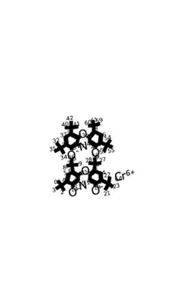 CC(C)(C)c1cc(C(C)(C)C)c2c(c1[O-])[N-]c1c([O-])c(C(C)(C)C)cc(C(C)(C)C)c1O2.CC(C)(C)c1cc(C(C)(C)C)c2c(c1[O-])[N-]c1c([O-])c(C(C)(C)C)cc(C(C)(C)C)c1O2.[Cr+6]